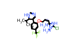 CC(C)C1NC=NC=C1c1ccc(C(F)(F)F)cc1OC/C=C\[C@@]1(N)NC(Cl)N1N